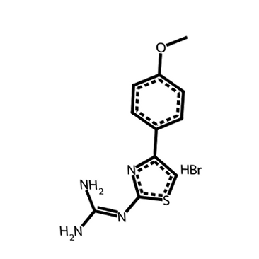 Br.COc1ccc(-c2csc(N=C(N)N)n2)cc1